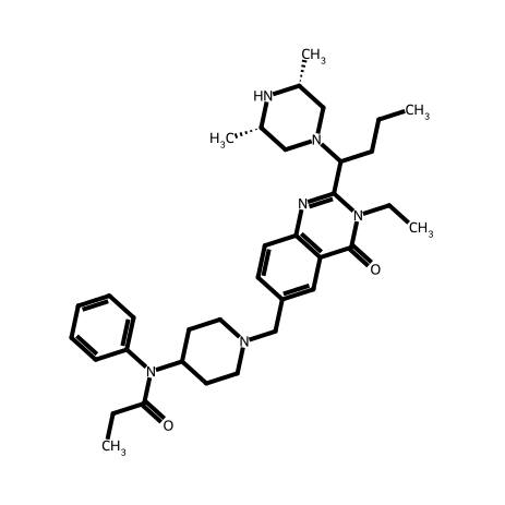 CCCC(c1nc2ccc(CN3CCC(N(C(=O)CC)c4ccccc4)CC3)cc2c(=O)n1CC)N1C[C@@H](C)N[C@@H](C)C1